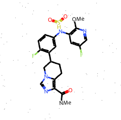 CNC(=O)c1ncn2c1CCC(c1cc(N(c3cc(F)cnc3OC)[SH](=O)=O)ccc1F)C2